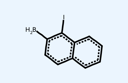 Bc1ccc2ccccc2c1I